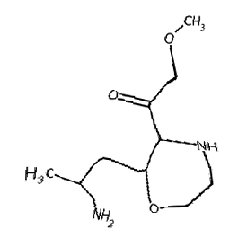 COCC(=O)C1NCCOC1CC(C)N